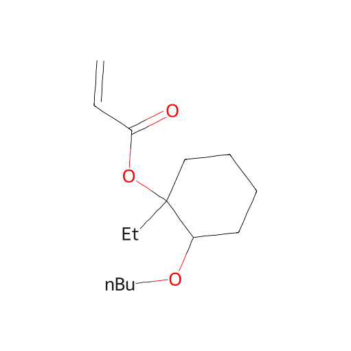 C=CC(=O)OC1(CC)CCCCC1OCCCC